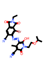 CCN1C(=O)c2cc(C#N)c(/N=N/c3c(C)c(C#N)c(=O)n(CCOC(C)C)c3O)c(Br)c2C1=O